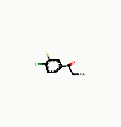 CC(=O)OCC(=O)c1ccc(Cl)c(F)c1